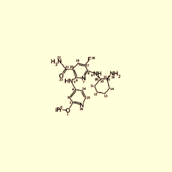 CC(C)Oc1cc(Nc2nc(N[C@@H]3CCCC[C@@H]3N)c(F)cc2C(N)=O)ccn1